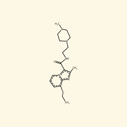 CCOc1cccn2c(C(=O)NCCN3CCN(C)CC3)c(C)nc12